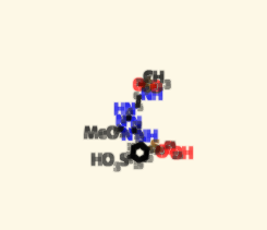 COc1nc(NCCNS(C)(=O)=O)nc(Nc2cc(S(=O)(=O)O)ccc2SOOO)n1